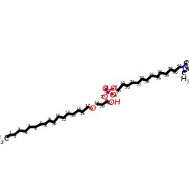 CCCCCCCCCCCCCCCCCCOCCC(O)OP(=O)([O-])OCCCCCCCCCCCCCC[N+](C)(C)C